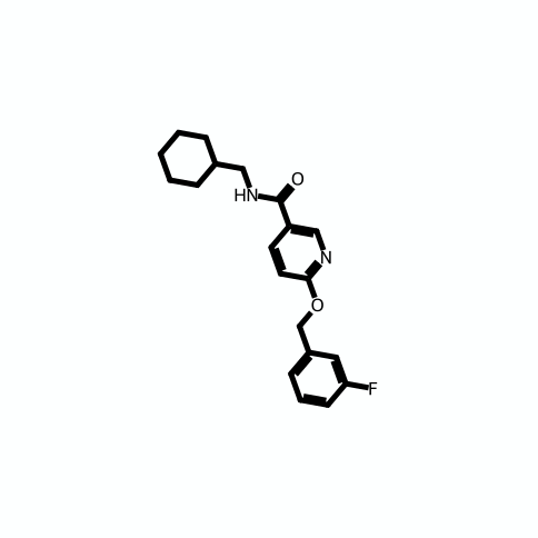 O=C(NCC1CCCCC1)c1ccc(OCc2cccc(F)c2)nc1